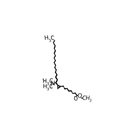 CCCCCCCCCCCCCCCCCCC(C1CC1CCCCCCCC(=O)OCC)N(C)C